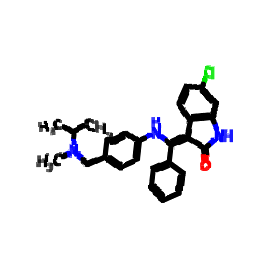 CC(C)N(C)Cc1ccc(NC(=C2C(=O)Nc3cc(Cl)ccc32)c2ccccc2)cc1